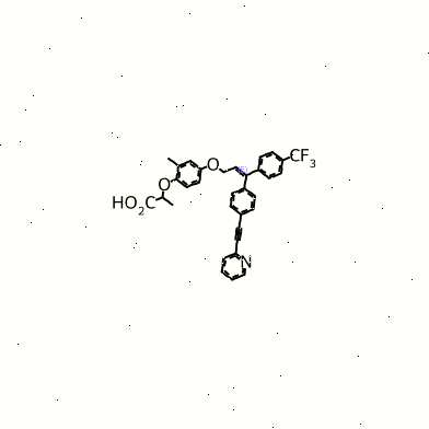 Cc1cc(OC/C=C(\c2ccc(C#Cc3ccccn3)cc2)c2ccc(C(F)(F)F)cc2)ccc1OC(C)C(=O)O